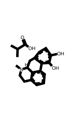 CC(C)C(=O)O.CN1CCc2cccc3c2[C@H]1Cc1ccc(O)c(O)c1-3